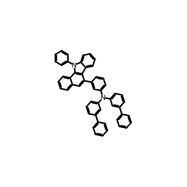 c1ccc(-c2cccc(N(c3cccc(-c4ccccc4)c3)c3cccc(-c4cc5ccccc5c5c4c4ccccc4n5-c4ccccc4)c3)c2)cc1